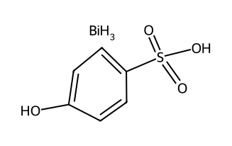 O=S(=O)(O)c1ccc(O)cc1.[BiH3]